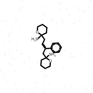 [SiH3]C1(C[C]=C(CC2([SiH3])CCCCO2)c2ccccc2)CCCCO1